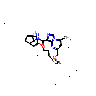 CCCCO[C@H]1CC2CC[C@@H](C1)[C@H]2NC(=O)c1ncn2c(C)cc(COC)nc12